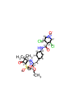 CCOC(=O)[C@H](Cc1ccc(NC(=O)c2c(Cl)c[n+]([O-])cc2Cl)cc1)NC1=C([S+](C)[O-])C(=O)C1(C)C